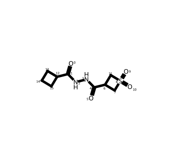 O=C(NNC(=O)C1CS(=O)(=O)C1)C1CCC1